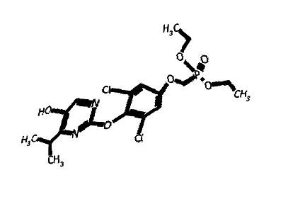 CCOP(=O)(COc1cc(Cl)c(Oc2ncc(O)c(C(C)C)n2)c(Cl)c1)OCC